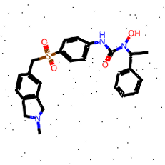 CC(c1ccccc1)N(O)C(=O)Nc1ccc(S(=O)(=O)Cc2ccc3c(c2)CN(C)C3)cc1